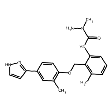 Cc1cc(-c2cc[nH]n2)ccc1OCc1c(C)cccc1NC(=O)N(C)N